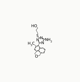 Cc1cc2c3c(cccc3c1-c1nc(N)nc(SCCCO)n1)COC2